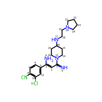 N=C(/C=C(\N)c1ccc(Cl)c(Cl)c1)N1CCC(NCCN2CCCC2)CC1